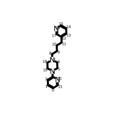 c1ccc(N2CCN(CCCCc3cccnc3)CC2)nc1